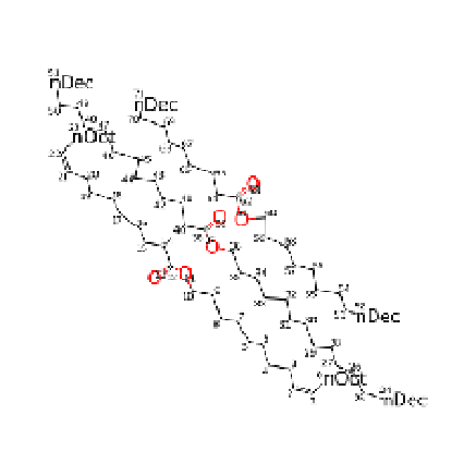 CCCCCCCC/C=C\CCCCCCCCOC(=O)CCCCCCC/C=C\CCCCCCCC.CCCCCCCCCCCCCCCCCCCCCCOC(=O)CCCCCCCCCCCCCCCCCCCCC.CCCCCCCCCCCCCCCCCCOC(=O)CCCCCCCCCCCCCCCCC